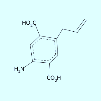 C=CCc1cc(C(=O)O)c(N)cc1C(=O)O